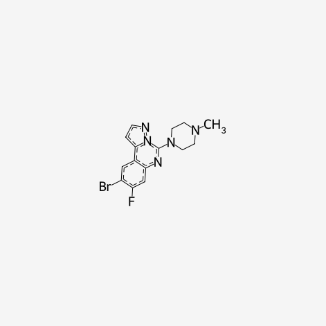 CN1CCN(c2nc3cc(F)c(Br)cc3c3ccnn23)CC1